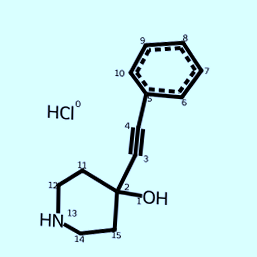 Cl.OC1(C#Cc2ccccc2)CCNCC1